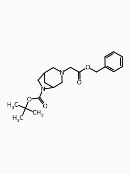 CC(C)(C)OC(=O)N1CC2CC1CN(CC(=O)OCc1ccccc1)C2